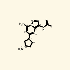 C=C(C)Nc1cnn2c(N)cc(N3CC[C@H](N)C3)nc12